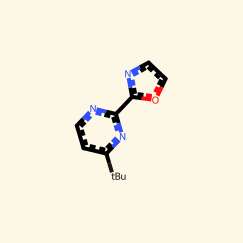 CC(C)(C)c1ccnc(-c2ncco2)n1